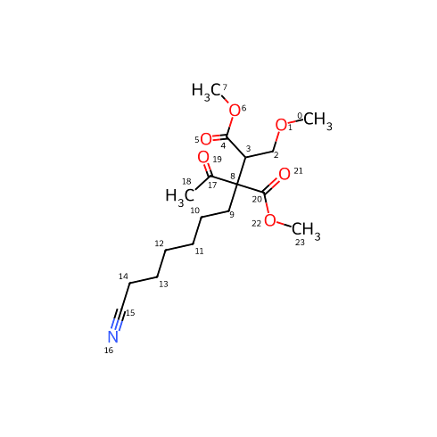 COCC(C(=O)OC)C(CCCCCCC#N)(C(C)=O)C(=O)OC